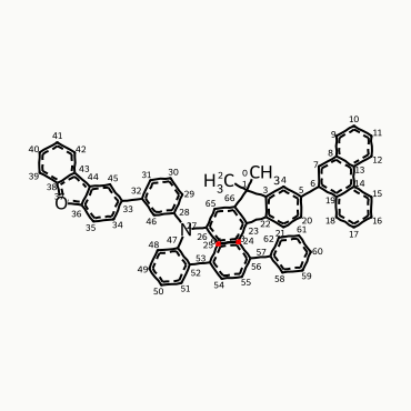 CC1(C)c2cc(-c3cc4ccccc4c4ccccc34)ccc2-c2ccc(N(c3cccc(-c4ccc5oc6ccccc6c5c4)c3)c3ccccc3-c3ccc(-c4ccccc4)cc3)cc21